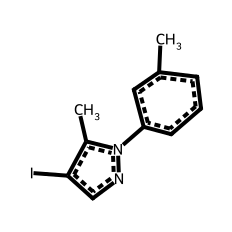 Cc1cccc(-n2ncc(I)c2C)c1